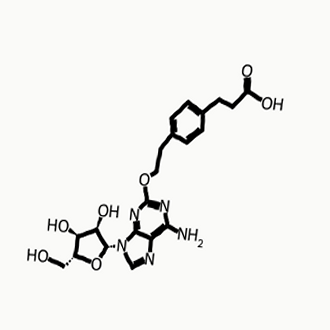 Nc1nc(OCCc2ccc(CCC(=O)O)cc2)nc2c1ncn2[C@@H]1O[C@H](CO)[C@@H](O)[C@H]1O